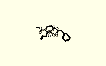 C=CCC1[C@@H]2ON=C(Cc3ccccc3)O[C@@H]2C=CN1C(=O)OC